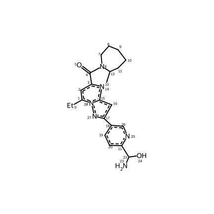 CCc1cc(C(=O)N2CCCCCC2C)nc2cc(-c3ccc(C(N)O)nc3)nn12